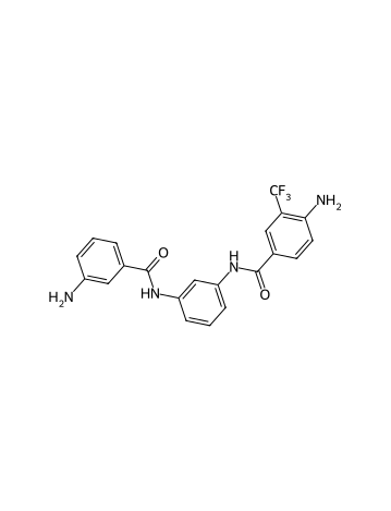 Nc1cccc(C(=O)Nc2cccc(NC(=O)c3ccc(N)c(C(F)(F)F)c3)c2)c1